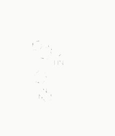 Cc1csc2c(Cc3ccc(-n4cccn4)cc3)cc(C(=O)NC3CCOCC3)nc12